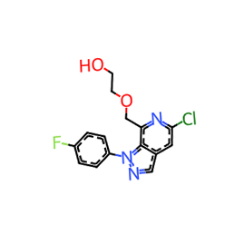 OCCOCc1nc(Cl)cc2cnn(-c3ccc(F)cc3)c12